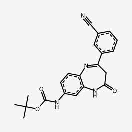 CC(C)(C)OC(=O)Nc1ccc2c(c1)NC(=O)CC(c1cccc(C#N)c1)=N2